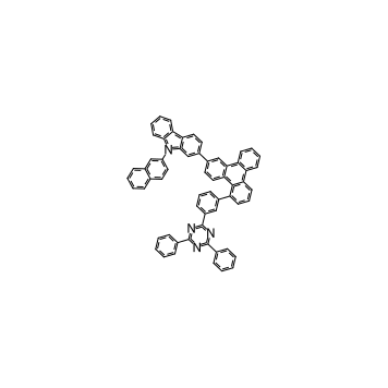 c1ccc(-c2nc(-c3ccccc3)nc(-c3cccc(-c4cccc5c6ccccc6c6cc(-c7ccc8c9ccccc9n(-c9ccc%10ccccc%10c9)c8c7)ccc6c45)c3)n2)cc1